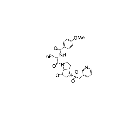 CCCC(NC(=O)c1ccc(OC)cc1)C(=O)N1CCC2C1C(=O)CN2S(=O)(=O)Cc1cccnc1